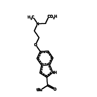 CN(CCOc1ccc2[nH]c(C(=O)C(C)(C)C)cc2c1)CC(=O)O